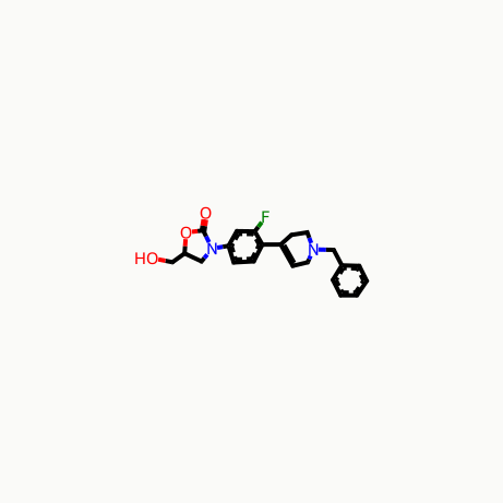 O=C1OC(CO)CN1c1ccc(C2=CCN(Cc3ccccc3)CC2)c(F)c1